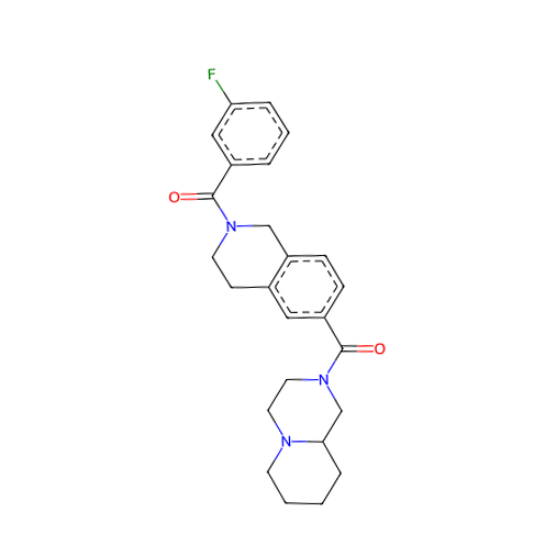 O=C(c1cccc(F)c1)N1CCc2cc(C(=O)N3CCN4CCCCC4C3)ccc2C1